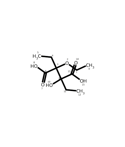 CCOC(CC)(C(=O)O)C(O)(CC)C(=O)O